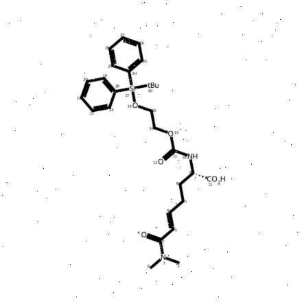 CN(C)C(=O)/C=C/CC[C@H](NC(=O)OCCO[Si](c1ccccc1)(c1ccccc1)C(C)(C)C)C(=O)O